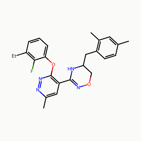 CCc1cccc(Oc2nnc(C)cc2C2=NOCC(Cc3ccc(C)cc3C)N2)c1F